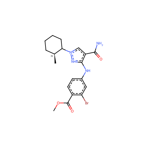 COC(=O)c1ccc(Nc2nn(C3CCCC[C@@H]3C)cc2C(N)=O)cc1Br